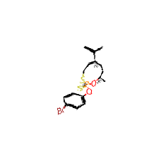 C=C(C)[C@@H]1CCS[P@@](=S)(Oc2ccc(Br)cc2)O[C@H](C)CC1